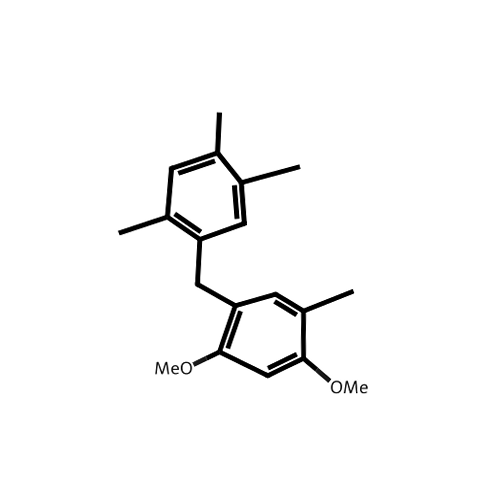 COc1cc(OC)c(Cc2cc(C)c(C)cc2C)cc1C